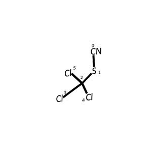 N#CSC(Cl)(Cl)Cl